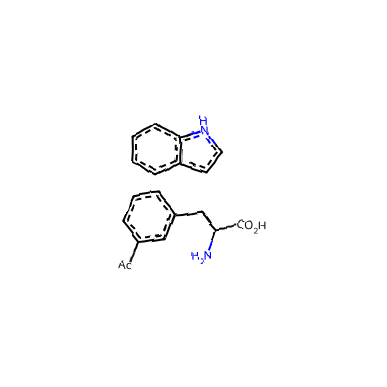 CC(=O)c1cccc(CC(N)C(=O)O)c1.c1ccc2[nH]ccc2c1